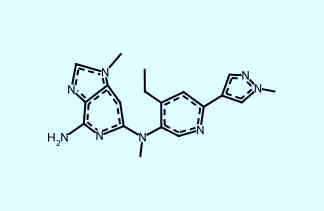 CCc1cc(-c2cnn(C)c2)ncc1N(C)c1cc2c(ncn2C)c(N)n1